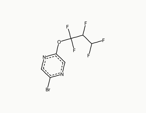 FC(F)C(F)C(F)(F)Oc1cnc(Br)cn1